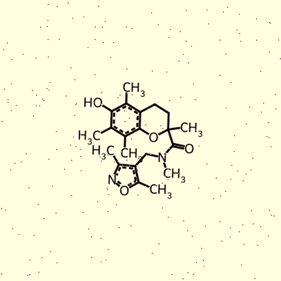 Cc1noc(C)c1CN(C)C(=O)C1(C)CCc2c(C)c(O)c(C)c(C)c2O1